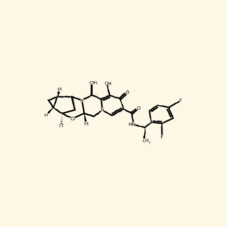 C[C@@H](NC(=O)c1cn2c(c(O)c1=O)C(O)N1C3C[C@@H](O[C@H]1C2)[C@@H]1C[C@H]31)c1ccc(F)cc1F